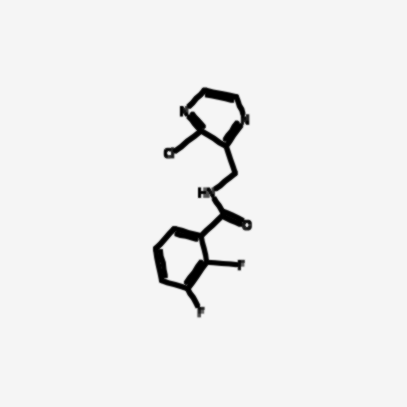 O=C(NCc1nccnc1Cl)c1cccc(F)c1F